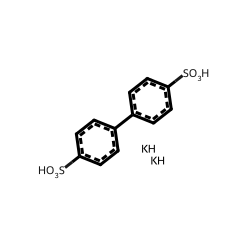 O=S(=O)(O)c1ccc(-c2ccc(S(=O)(=O)O)cc2)cc1.[KH].[KH]